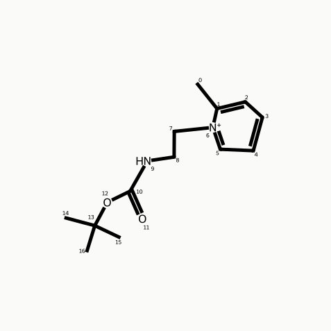 Cc1cccc[n+]1CCNC(=O)OC(C)(C)C